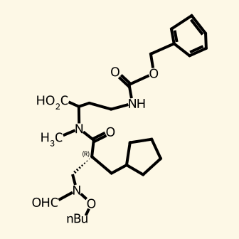 CCCCON(C=O)C[C@@H](CC1CCCC1)C(=O)N(C)C(CCNC(=O)OCc1ccccc1)C(=O)O